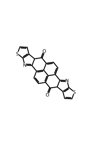 O=C1c2ccc3c4c(ccc(c24)C2=Nc4sccc4C12)C(=O)C1C3=Nc2sccc21